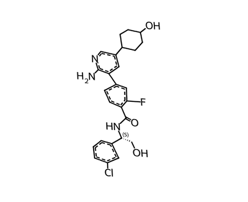 Nc1ncc(C2CCC(O)CC2)cc1-c1ccc(C(=O)N[C@H](CO)c2cccc(Cl)c2)c(F)c1